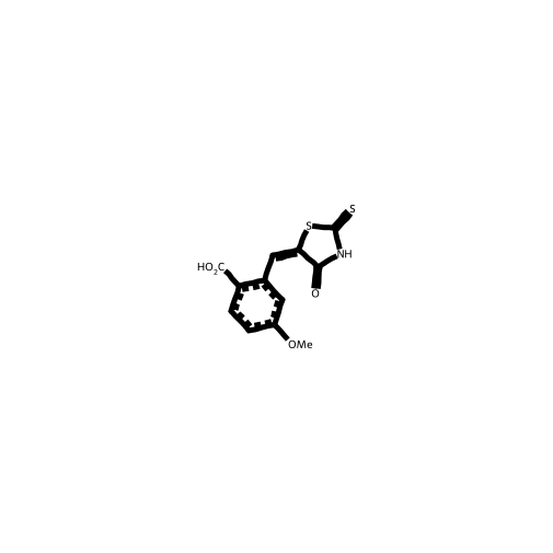 COc1ccc(C(=O)O)c(/C=C2/SC(=S)NC2=O)c1